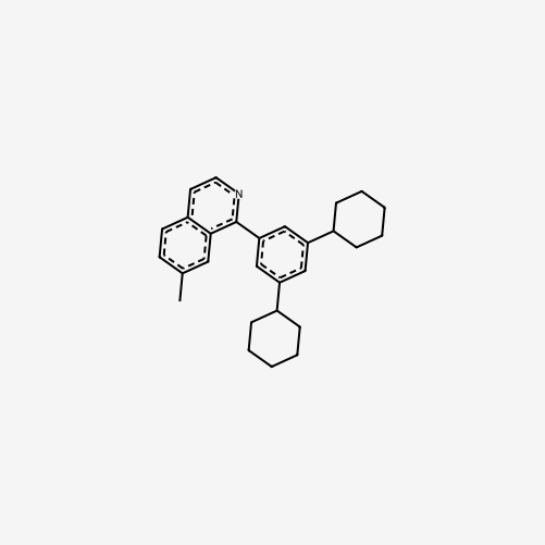 Cc1ccc2ccnc(-c3cc(C4CCCCC4)cc(C4CCCCC4)c3)c2c1